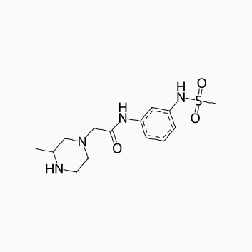 CC1CN(CC(=O)Nc2cccc(NS(C)(=O)=O)c2)CCN1